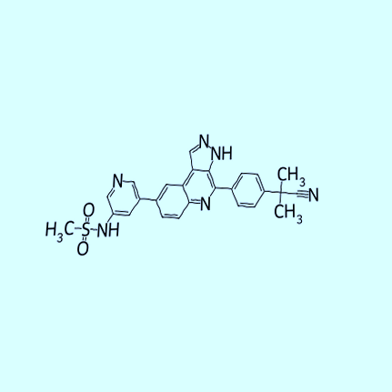 CC(C)(C#N)c1ccc(-c2nc3ccc(-c4cncc(NS(C)(=O)=O)c4)cc3c3cn[nH]c23)cc1